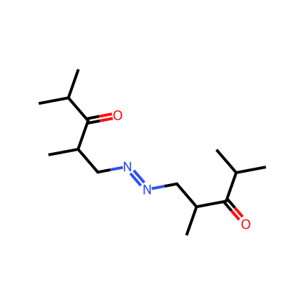 CC(C)C(=O)C(C)CN=NCC(C)C(=O)C(C)C